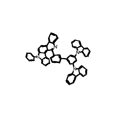 c1ccc(-n2c3ccccc3c3c4c(-c5cccc(-c6cc(-n7c8ccccc8c8ccccc87)cc(-n7c8ccccc8c8ccccc87)c6)c5)nc5ccccc5c4ccc32)cc1